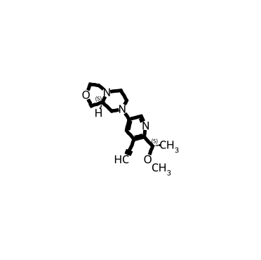 C#Cc1cc(N2CCN3CCOC[C@@H]3C2)cnc1[C@H](C)OC